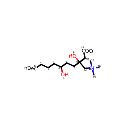 CCCCCCCCCCCCCC(O)CCC(O)(CC(=O)[O-])C[N+](C)(C)C